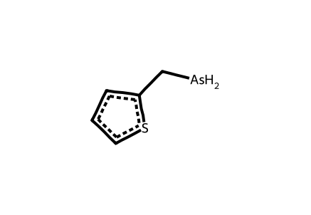 [AsH2]Cc1cccs1